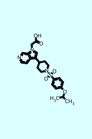 CC(C)Oc1ccc(S(=O)(=O)N2CCC(c3cn(CC(=O)O)c4cnccc34)CC2)cc1